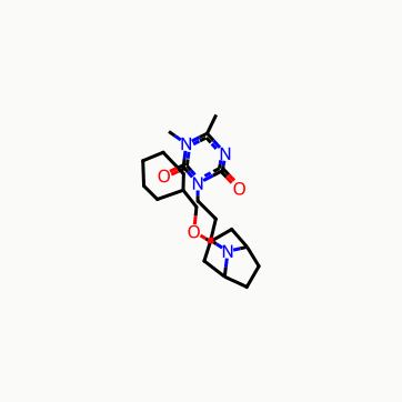 Cc1nc(=O)n(CCCN2C3CCC2CC(OCC2CCCCC2)C3)c(=O)n1C